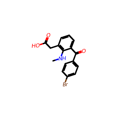 CNc1c(CC(=O)O)cccc1C(=O)c1ccc(Br)cc1